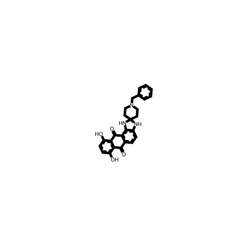 O=C1c2ccc3c(c2C(=O)c2c(O)ccc(O)c21)NC1(CCN(Cc2ccccc2)CC1)N3